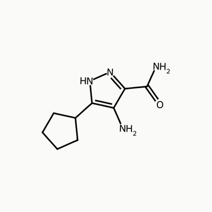 NC(=O)c1n[nH]c(C2CCCC2)c1N